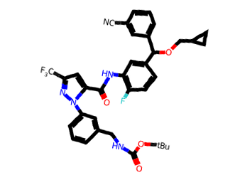 CC(C)(C)OC(=O)NCc1cccc(-n2nc(C(F)(F)F)cc2C(=O)Nc2cc(C(OCC3CC3)c3cccc(C#N)c3)ccc2F)c1